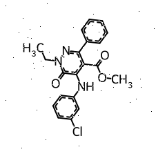 CCn1nc(-c2ccccc2)c(C(=O)OC)c(Nc2cccc(Cl)c2)c1=O